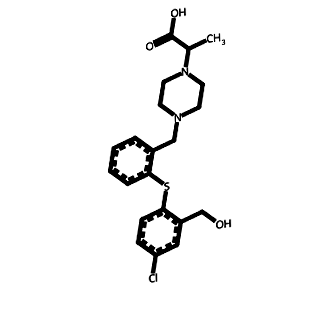 CC(C(=O)O)N1CCN(Cc2ccccc2Sc2ccc(Cl)cc2CO)CC1